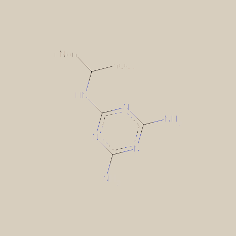 CCCCCCCCCC(CCCCCCCC)Nc1nc(N)nc(N)n1